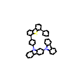 c1ccc(-c2cccc3c2sc2c(-c4ccc(-n5c6ccccc6c6ccc(-n7c8ccccc8c8ccccc87)cc65)cc4)cccc23)cc1